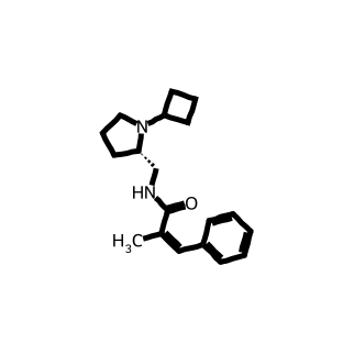 CC(=Cc1ccccc1)C(=O)NC[C@@H]1CCCN1C1CCC1